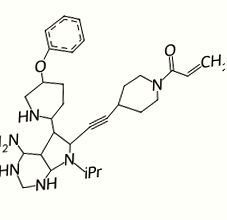 C=CC(=O)N1CCC(C#CC2C(C3CCC(Oc4ccccc4)CN3)C3C(N)NCNC3N2C(C)C)CC1